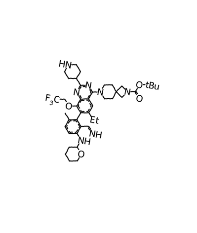 CCc1cc2c(N3CCC4(CC3)CN(C(=O)OC(C)(C)C)C4)nc(C3CCNCC3)nc2c(OCC(F)(F)F)c1-c1c(C)ccc(NC2CCCCO2)c1C=N